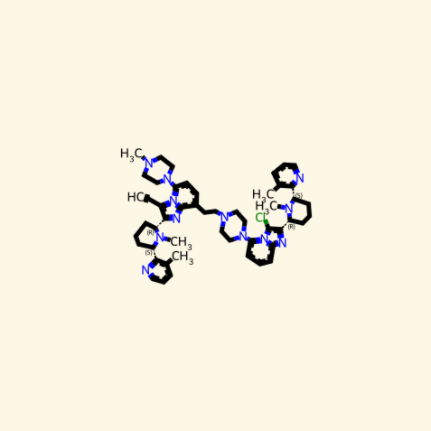 C#Cc1c([C@H]2CCC[C@@H](c3ncccc3C)N2C)nc2c(CCN3CCN(c4cccc5nc([C@H]6CCC[C@@H](c7ncccc7C)N6C)c(Cl)n45)CC3)ccc(N3CCN(C)CC3)n12